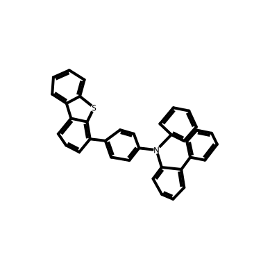 c1ccc(-c2ccccc2N(c2ccccc2)c2ccc(-c3cccc4c3sc3ccccc34)cc2)cc1